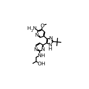 COc1cc(-c2nc(C(C)(C)C)[nH]c2-c2ccnc(NCC(C)O)n2)cnc1N